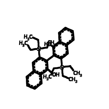 CC[Si](CC)(CC)c1cc2ccccc2c(O)c1-c1c([Si](CC)(CC)CC)cc2ccccc2c1O